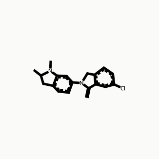 C=C1c2cc(Cl)ccc2CN1c1ccc2c(c1)N(C)C(C)C2